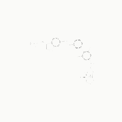 Cc1cc(OCCN2CCCS2(=O)=O)cc(C)c1-c1cccc(COc2ccc3c(c2)OC[C@H]3CC(=O)O)c1